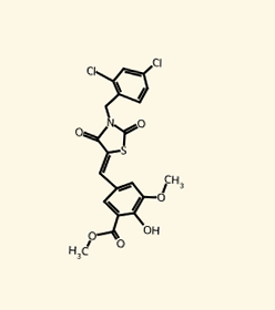 COC(=O)c1cc(/C=C2\SC(=O)N(Cc3ccc(Cl)cc3Cl)C2=O)cc(OC)c1O